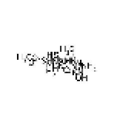 CCCCNc1nc(N)c2nc(O)n(Cc3ccc(NC(=O)[C@H](CO)NC(=O)[C@H](N)CSCCOC(C)=O)cc3)c2n1